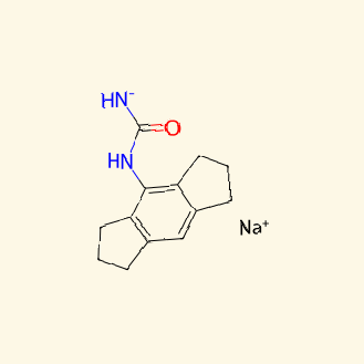 [NH-]C(=O)Nc1c2c(cc3c1CCC3)CCC2.[Na+]